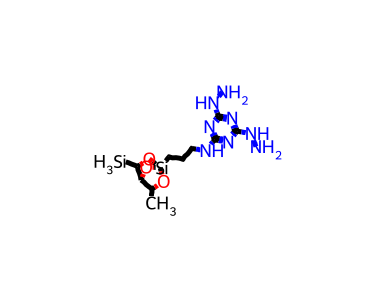 CC1O[Si]2(CCCNc3nc(NN)nc(NN)n3)OC([SiH3])C1O2